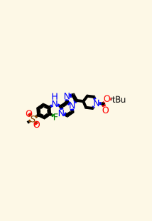 CC(C)(C)OC(=O)N1CCC(c2cnc3c(Nc4ccc(S(C)(=O)=O)cc4F)nccn23)CC1